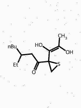 CCCCC(CC)CC(=O)C1(C(O)=C(C)O)CS1